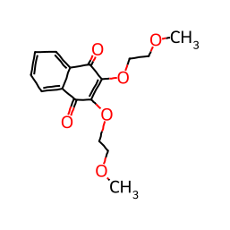 COCCOC1=C(OCCOC)C(=O)c2ccccc2C1=O